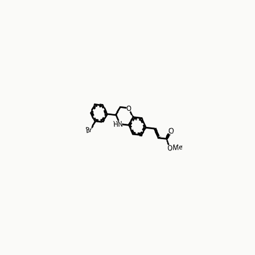 COC(=O)/C=C/c1ccc2c(c1)OCC(c1cccc(Br)c1)N2